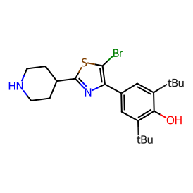 CC(C)(C)c1cc(-c2nc(C3CCNCC3)sc2Br)cc(C(C)(C)C)c1O